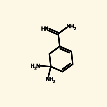 N=C(N)C1=CC=CC(N)(N)C1